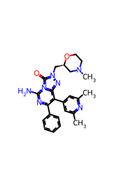 Cc1cc(-c2c(-c3ccccc3)nc(N)n3c(=O)n(C[C@@H]4CN(C)CCO4)nc23)cc(C)n1